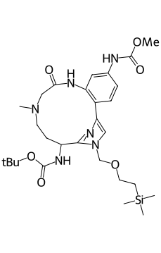 COC(=O)Nc1ccc2c(c1)NC(=O)CN(C)CCC(NC(=O)OC(C)(C)C)c1nc-2cn1COCC[Si](C)(C)C